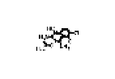 CC(=O)ON1C(C)=c2c(Cl)c(Cl)ccc2=NC1N.Cl